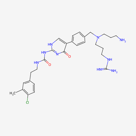 Cc1cc(CCNC(=O)Nc2nc(=O)c(-c3ccc(CN(CCCN)CCCNC(=N)N)cc3)c[nH]2)ccc1Cl